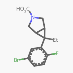 CCC1(c2cc(Br)ccc2F)C2CN(C(=O)O)CC21